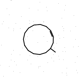 CC1CC=CCCCCCCCCCCC1